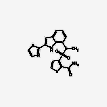 CN(c1cccc2cc(-c3nccs3)[nH]c12)S(=O)(=O)c1ccsc1C(N)=O